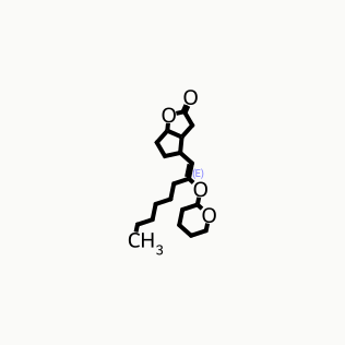 CCCCCC/C(=C\C1CCC2OC(=O)CC12)OC1CCCCO1